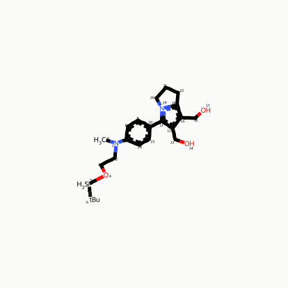 CN(CCO[SiH2]C(C)(C)C)c1ccc(-c2c(CO)c(CO)c3n2CCC3)cc1